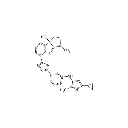 CN1CC[C@@](O)(c2cccc(-c3nc(-c4ccnc(Nc5cc(C6CC6)nn5C)n4)cs3)c2)C1=O